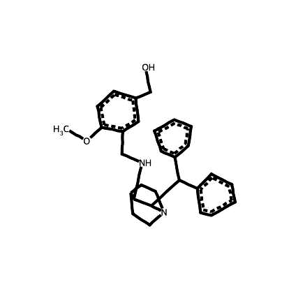 COc1ccc(CO)cc1CNC1C2CCN(CC2)C1C(c1ccccc1)c1ccccc1